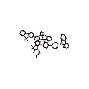 C=C/C=C\C1=C(C)C(C)(C)c2cc(N(c3ccc4c(c3)C(C)(C)c3ccccc3-4)c3cccc4c3C3(c5ccccc5Oc5ccc(C6=CC=C(n7c8ccccc8c8ccccc87)C=C=C6)cc53)c3ccccc3-4)ccc21